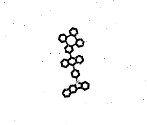 c1ccc2c(c1)-c1ccccc1-c1ccc(-c3c4ccccc4c(-c4ccc(-n5c6ccccc6c6cc7ccccc7cc65)cc4)c4ccccc34)cc1-c1ccccc1-2